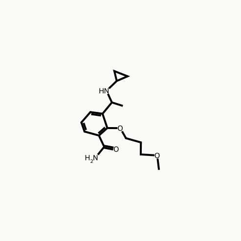 COCCCOc1c(C(N)=O)cccc1C(C)NC1CC1